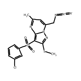 CSc1nn2c(CN=[N+]=[N-])cc(C)nc2c1S(=O)(=O)c1cccc(Cl)c1